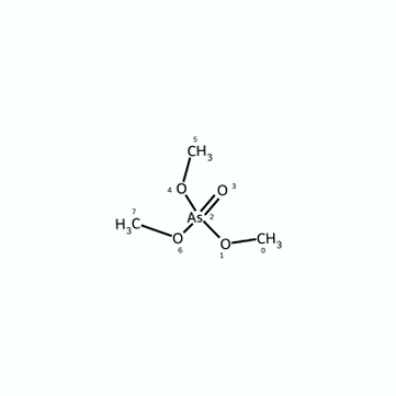 CO[As](=O)(OC)OC